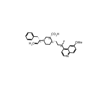 C=C[C@H](Cc1ccccc1)N1CC[C@@H](CC[C@@H](F)c2ccnc3ccc(OC)cc23)[C@@H](C(=O)O)C1